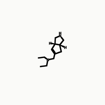 CCN(CC)CC1=C[C@@H]2CNC[C@@H]2C1